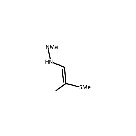 CNN/C=C(\C)SC